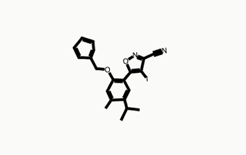 Cc1cc(OCc2ccccc2)c(-c2onc(C#N)c2I)cc1C(C)C